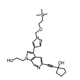 C[Si](C)(C)CCOCn1cc(-c2cn(CCO)c3cnc(C#CC4(O)CCCC4)cc23)cn1